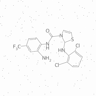 Nc1cc(C(F)(F)F)ccc1NC(=O)N1C=CSC1Nc1c(Cl)cccc1Cl